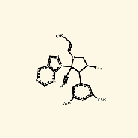 C#CC1(n2ncc3cncnc32)C(c2cc(OC)cc(OC)c2)C(N)CN1C=CC=O